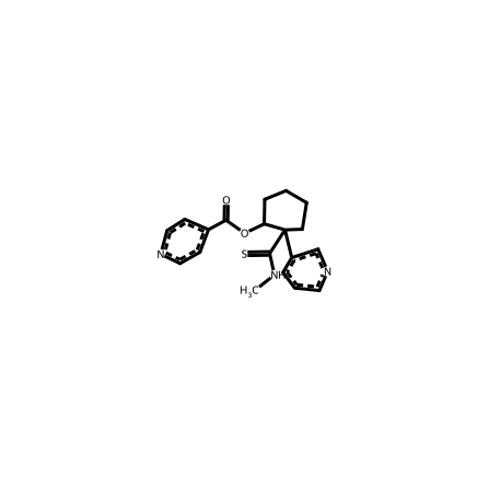 CNC(=S)C1(c2cccnc2)CCCCC1OC(=O)c1ccncc1